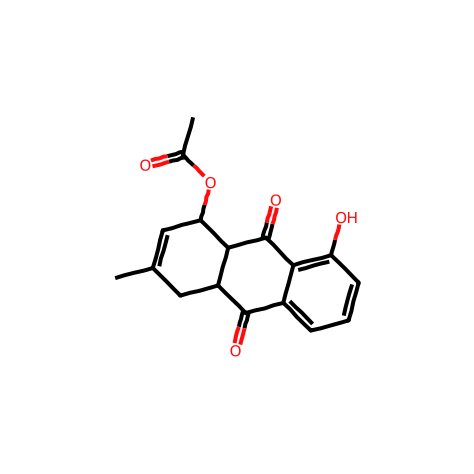 CC(=O)OC1C=C(C)CC2C(=O)c3cccc(O)c3C(=O)C12